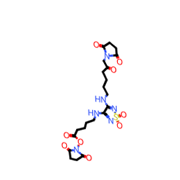 O=C(CCCCNC1=NS(=O)(=O)N=C1NCCCCC(=O)ON1C(=O)CCC1=O)CN1C(=O)CCC1=O